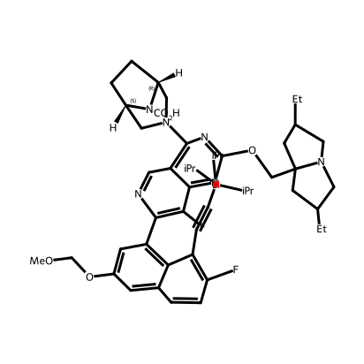 CCC1CN2CC(CC)CC2(COc2nc(N3C[C@H]4CC[C@@H](C3)N4C(=O)O)c3cnc(-c4cc(OCOC)cc5ccc(F)c(C#C[Si](C(C)C)(C(C)C)C(C)C)c45)c(F)c3n2)C1